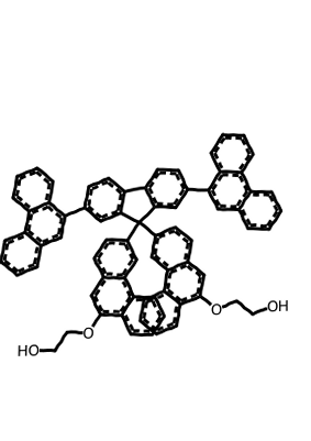 OCCOc1cc2ccc(C3(c4ccc5cc(OCCO)c6ccccc6c5c4)c4cc(-c5cc6ccccc6c6ccccc56)ccc4-c4ccc(-c5cc6ccccc6c6ccccc56)cc43)cc2c2ccccc12